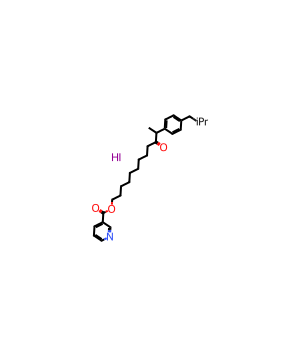 CC(C)Cc1ccc(C(C)C(=O)CCCCCCCCCOC(=O)c2cccnc2)cc1.I